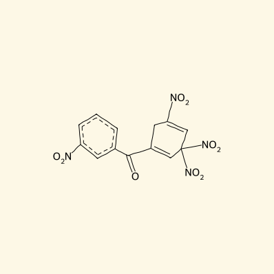 O=C(C1=CC([N+](=O)[O-])([N+](=O)[O-])C=C([N+](=O)[O-])C1)c1cccc([N+](=O)[O-])c1